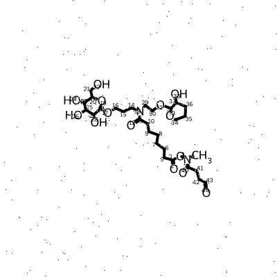 CN(OC(=O)CCCCCCC(=O)N(CCCO[C@H]1OC(CO)[C@@H](O)C(O)C1O)CCOC1OCCCC1O)C(=O)CCC=O